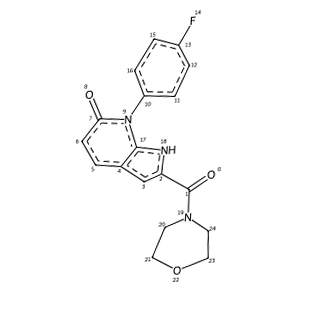 O=C(c1cc2ccc(=O)n(-c3ccc(F)cc3)c2[nH]1)N1CCOCC1